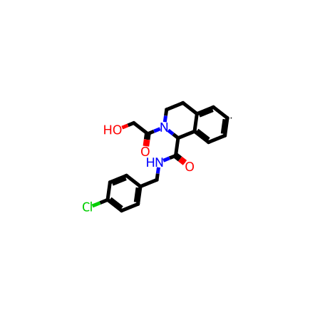 O=C(NCc1ccc(Cl)cc1)C1c2cc[c]cc2CCN1C(=O)CO